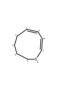 C1=CCCCCSC=C1